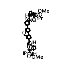 COC(=O)N[C@H](C(=O)N1CCC[C@H]1c1ncc(-c2ccc3c(c2)COc2cc(-c4ccc5nc([C@@H]6[C@H]7CC[C@H](C7)N6C(=O)[C@@H](NC(=O)OC)C(C)C)[nH]c5c4)ccc2-3)[nH]1)C(C)C